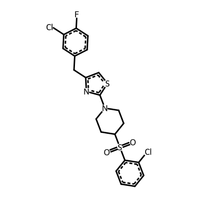 O=S(=O)(c1ccccc1Cl)C1CCN(c2nc(Cc3ccc(F)c(Cl)c3)cs2)CC1